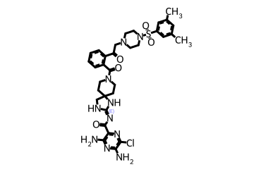 Cc1cc(C)cc(S(=O)(=O)N2CCN(CC(=O)c3ccccc3C(=O)N3CCC4(CC3)CN/C(=N\C(=O)c3nc(Cl)c(N)nc3N)N4)CC2)c1